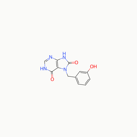 O=c1[nH]cnc2[nH]c(=O)n(Cc3cccc(O)c3)c12